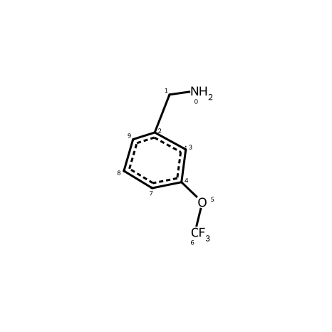 NCc1[c]c(OC(F)(F)F)ccc1